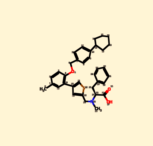 Cc1ccc(OCc2ccc(C3CCCCC3)cc2)c(-c2csc(CN(C)[C@@H](Cc3ccccc3)C(=O)O)c2)c1